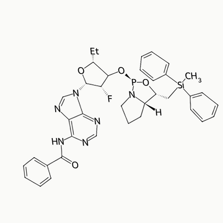 CC[C@H]1O[C@@H](n2cnc3c(NC(=O)c4ccccc4)ncnc32)[C@@H](F)C1O[P@@]1O[C@H](C[Si](C)(c2ccccc2)c2ccccc2)[C@@H]2CCCN21